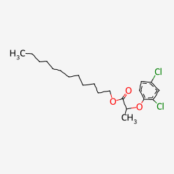 CCCCCCCCCCCCOC(=O)C(C)Oc1ccc(Cl)cc1Cl